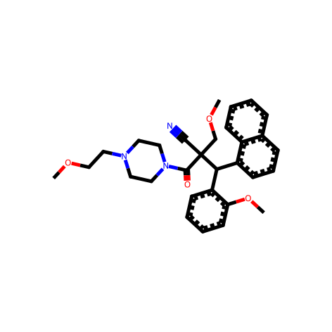 COCCN1CCN(C(=O)C(C#N)(COC)C(c2ccccc2OC)c2cccc3ccccc23)CC1